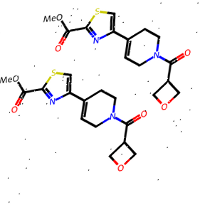 COC(=O)c1nc(C2=CCN(C(=O)C3COC3)CC2)cs1.COC(=O)c1nc(C2=CCN(C(=O)C3COC3)CC2)cs1